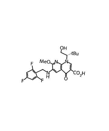 COc1nc2c(cc1NCc1c(F)cc(F)cc1F)c(=O)c(C(=O)O)cn2[C@H](CO)C(C)(C)C